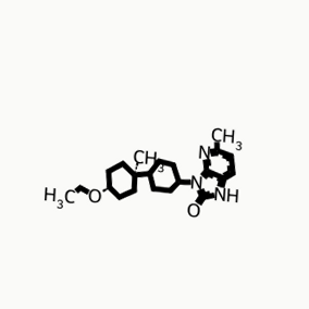 CCO[C@H]1CC[C@](C)(C2CCC(n3c(=O)[nH]c4ccc(C)nc43)CC2)CC1